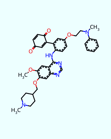 COc1cc2c(Nc3ccc(OCCN(C)c4ccccc4)cc3C3=CC(=O)C=CC3=O)ncnc2cc1OCC1CCN(C)CC1